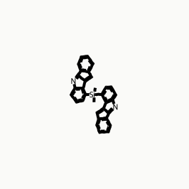 C[Si](C)(c1cccc2c1C1=Cc3ccccc3C1=N2)c1cccc2c1C1=Cc3ccccc3C1=N2